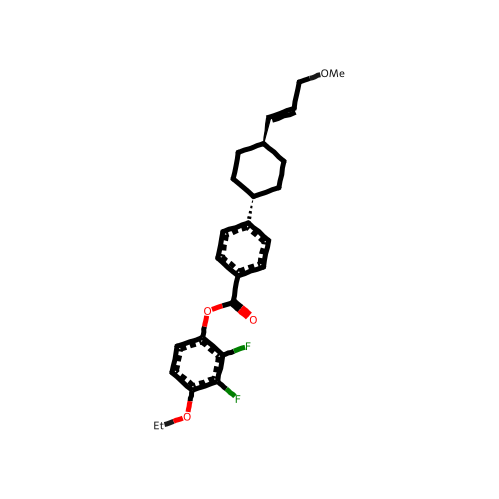 CCOc1ccc(OC(=O)c2ccc([C@H]3CC[C@H](/C=C/COC)CC3)cc2)c(F)c1F